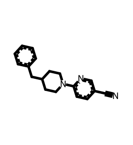 N#Cc1ccc(N2CCC(Cc3ccccc3)CC2)nc1